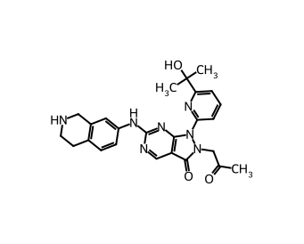 CC(=O)Cn1c(=O)c2cnc(Nc3ccc4c(c3)CNCC4)nc2n1-c1cccc(C(C)(C)O)n1